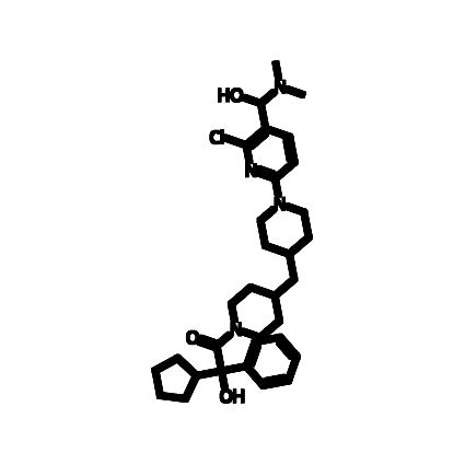 CN(C)C(O)c1ccc(N2CCC(CC3CCN(C(=O)C(O)(c4ccccc4)C4CCCC4)CC3)CC2)nc1Cl